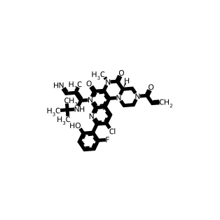 C=CC(=O)N1CCN2c3c(c(=O)n(/C(NC(C)(C)C)=C(\C)C=N)c4nc(-c5c(O)cccc5F)c(Cl)cc34)N(C)C(=O)[C@H]2C1